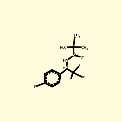 CC(C)(C)[S+]([O-])N[C@H](c1ccc(F)cc1)C(F)(F)F